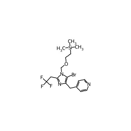 C[Si](C)(C)CCOCn1c(CC(F)(F)F)nc(Cc2ccncc2)c1Br